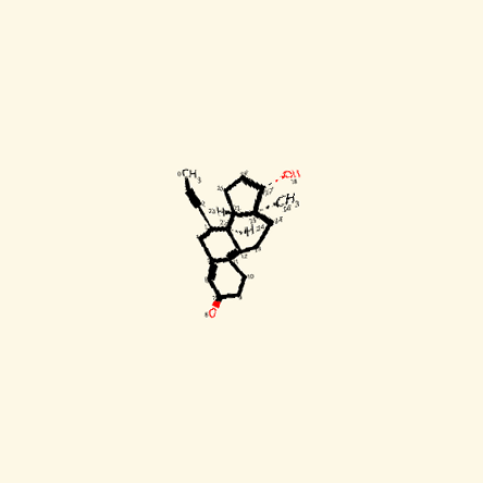 CC#C[C@@H]1CC2=CC(=O)CCC2=C2CC[C@]3(C)[C@@H](O)CC[C@H]3[C@@H]21